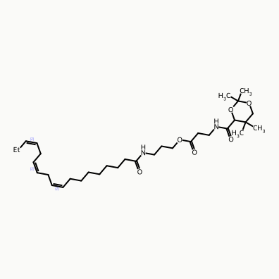 CC/C=C\C/C=C\C/C=C\CCCCCCCC(=O)NCCCOC(=O)CCNC(=O)C1OC(C)(C)OCC1(C)C